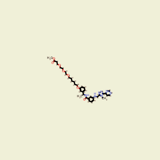 COC(=O)CCOCCOCCOCCCCCCOc1cccc([C@@H](C)NC(=O)c2cccc(NCc3nnc(-c4ccncn4)n3C)c2)c1